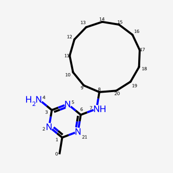 Cc1nc(N)nc(NC2CCCCCCCCCCCC2)n1